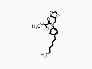 CCCCCCc1ccc(N(CC2COCO2)C(=O)C(Cl)OC)cc1